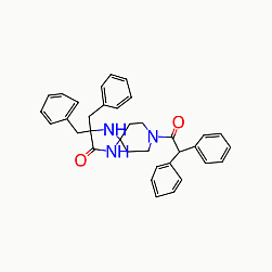 O=C(C(c1ccccc1)c1ccccc1)N1CCC2(CC1)NC(=O)C(Cc1ccccc1)(Cc1ccccc1)N2